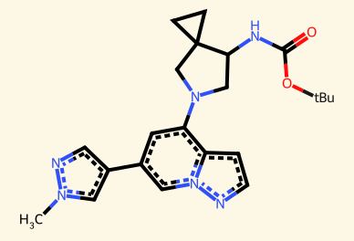 Cn1cc(-c2cc(N3CC(NC(=O)OC(C)(C)C)C4(CC4)C3)c3ccnn3c2)cn1